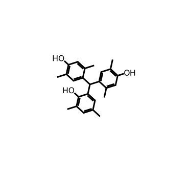 Cc1cc(C)c(O)c(C(c2cc(C)c(O)cc2C)c2cc(C)c(O)cc2C)c1